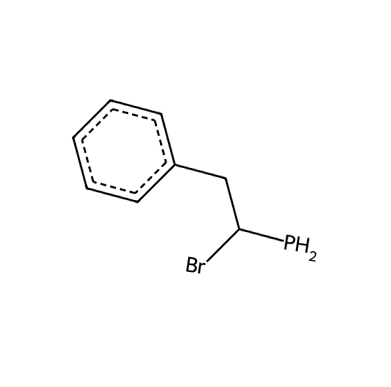 PC(Br)Cc1ccccc1